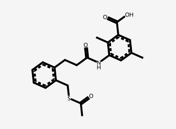 CC(=O)SCc1ccccc1CCC(=O)Nc1cc(C)cc(C(=O)O)c1C